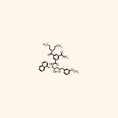 CCCN(CCC)C(=O)c1cc(C(N)=O)cc(C(=O)N[C@@H](Cc2cccc3ccccc23)[C@H](O)CNCc2cccc(OC)c2)c1